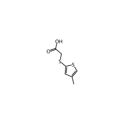 Cc1csc(SCC(=O)O)c1